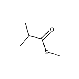 CSC(=O)C(C)C